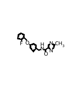 Cc1cnc(C(=O)NCc2ccc(OCc3ccccc3F)cc2)cn1